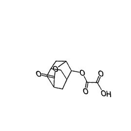 O=C(O)C(=O)OC1C2CC3CC(C2)C(=O)OC1C3